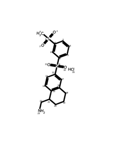 CS(=O)(=O)c1cccc(S(=O)(=O)c2ccc3c(c2)CCCC3CN)c1.Cl